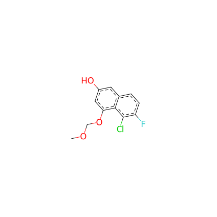 COCOc1cc(O)cc2ccc(F)c(Cl)c12